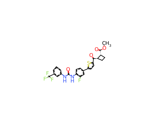 COC(=O)[C@@H]1CC[C@H]1C(=O)c1ccc(-c2ccc(NC(=O)Nc3cccc(C(F)(F)F)c3)c(F)c2)s1